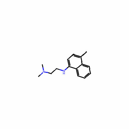 Cc1ccc(NCCN(C)C)c2ccccc12